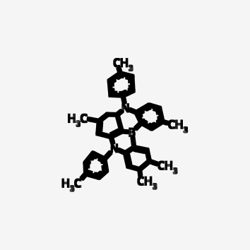 CC1=CC2=C3B(C4=CC(C)C(C)C=C4N2c2ccc(C)cc2)c2cc(C)ccc2N(c2ccc(C)cc2)C3C1